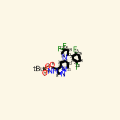 CC(C)(C)S(=O)(=O)NC(=O)c1cnn2ccc(N3CC(F)(F)C[C@@H]3c3cc(F)ccc3F)cc12